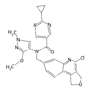 COc1nn(C)cc1N(Cc1ccc2c3c(c(Cl)nc2c1)COC3)C(=O)c1cnc(C2CC2)nc1